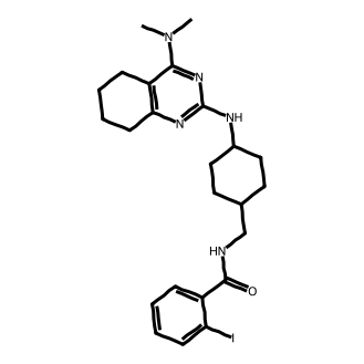 CN(C)c1nc(NC2CCC(CNC(=O)c3ccccc3I)CC2)nc2c1CCCC2